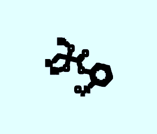 CCOC(CBr)(OCC)C(=O)Oc1ccccc1[N+](=O)[O-]